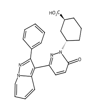 O=C(O)[C@H]1CCC[C@H](n2nc(-c3c(-c4ccccc4)nn4ccccc34)ccc2=O)C1